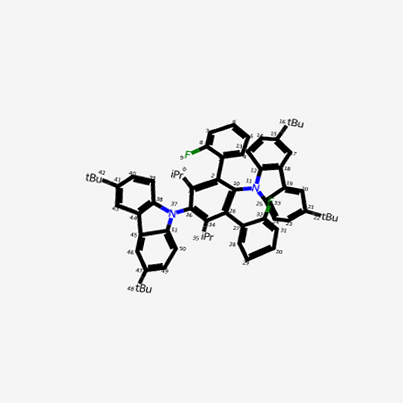 CC(C)c1c(-c2ccccc2F)c(-n2c3ccc(C(C)(C)C)cc3c3cc(C(C)(C)C)ccc32)c(-c2ccccc2F)c(C(C)C)c1-n1c2ccc(C(C)(C)C)cc2c2cc(C(C)(C)C)ccc21